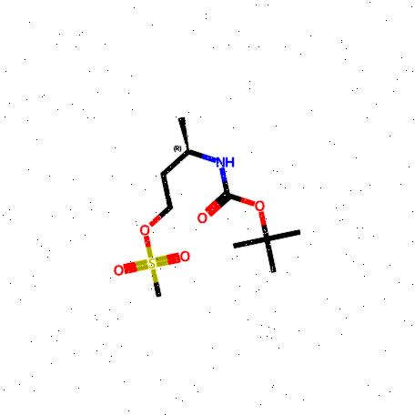 C[C@H](CCOS(C)(=O)=O)NC(=O)OC(C)(C)C